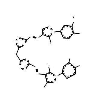 CC(C)(C)c1nn(-c2ccc(C(=O)O)c(C(=O)O)c2)c(N)c1N=Nc1nnc(Cc2nnc(N=Nc3cnn(-c4ccc(C(=O)O)c(OC=O)c4)c3N)s2)s1